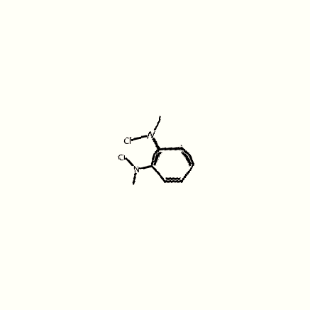 CN(Cl)c1[c]cccc1N(C)Cl